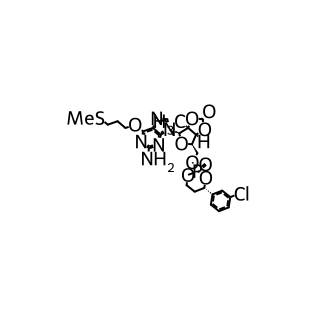 CSCCCOc1nc(N)nc2c1ncn2[C@@H]1O[C@H](CO[P@@]2(=O)OCC[C@@H](c3cccc(Cl)c3)O2)[C@H]2OC(=O)O[C@]21C